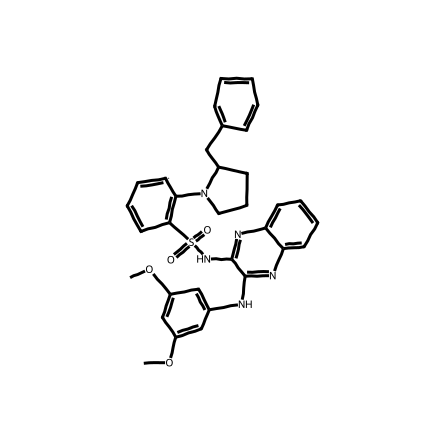 COc1cc(Nc2nc3ccccc3nc2NS(=O)(=O)c2ccc[c]c2N2CCCC2Cc2ccccc2)cc(OC)c1